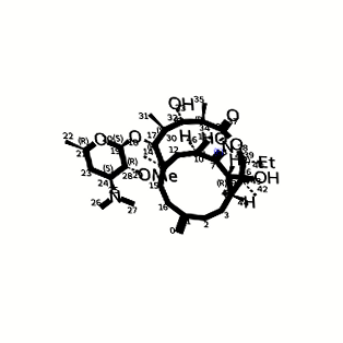 C=C1CC[C@@H]2[C@@H](C)/C(=N/O)[C@H](C)C[C@@](C)(CC1)[C@H](O[C@@H]1O[C@H](C)C[C@H](N(C)C)[C@H]1OC)[C@@H](C)[C@H](O)[C@@H](C)C(=O)O[C@H](CC)[C@@]2(C)O